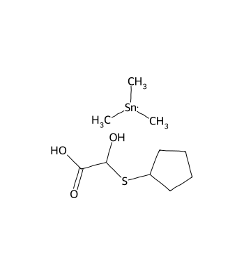 O=C(O)C(O)SC1CCCC1.[CH3][Sn]([CH3])[CH3]